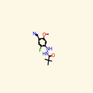 COc1cc(NNC(=O)C(C)(C)C)c(F)cc1C#N